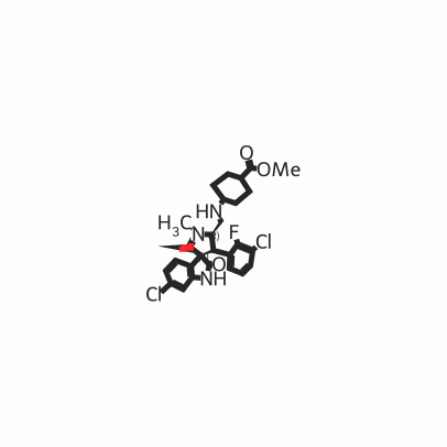 COC(=O)C1CCC(NC[C@H]2C(c3cccc(Cl)c3F)[C@]3(C(=O)Nc4cc(Cl)ccc43)C3(CCCCC3)N2C)CC1